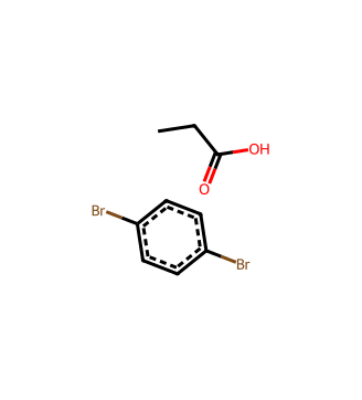 Brc1ccc(Br)cc1.CCC(=O)O